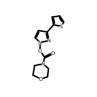 O=C(On1ccc(-c2cccs2)n1)N1CCOCC1